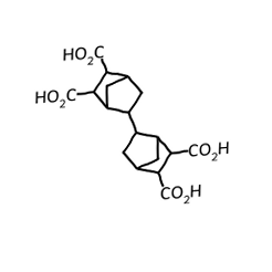 O=C(O)C1C2CC(C3CC4CC3C(C(=O)O)C4C(=O)O)C(C2)C1C(=O)O